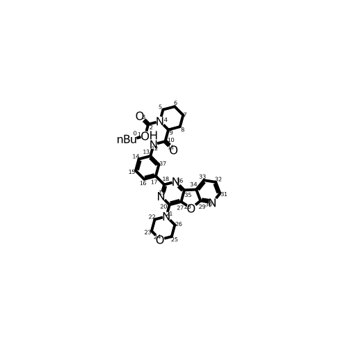 CCCCOC(=O)N1CCCCC1C(=O)Nc1cccc(-c2nc(N3CCOCC3)c3oc4ncccc4c3n2)c1